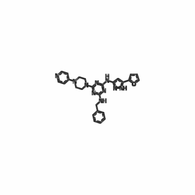 c1ccc(CNc2nc(Nc3cc(-c4ccco4)[nH]n3)nc(N3CCN(c4ccncc4)CC3)n2)cc1